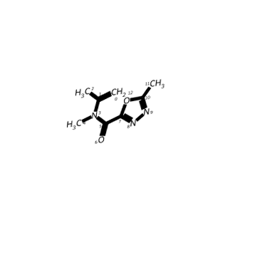 C=C(C)N(C)C(=O)c1nnc(C)o1